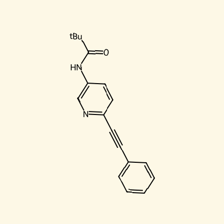 CC(C)(C)C(=O)Nc1ccc(C#Cc2ccccc2)nc1